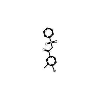 Cc1cc(C(=O)CS(=O)(=O)c2ccccc2)ccc1Br